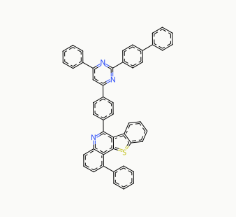 c1ccc(-c2ccc(-c3nc(-c4ccccc4)cc(-c4ccc(-c5nc6cccc(-c7ccccc7)c6c6sc7ccccc7c56)cc4)n3)cc2)cc1